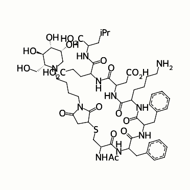 CC(=O)NC(CSC1CC(=O)N(CCCCN2C[C@@H](O)[C@@H](O)[C@H](O)[C@H]2CO)C1=O)C(=O)NC(Cc1ccccc1)C(=O)NC(Cc1ccccc1)C(=O)NC(CCCCN)C(=O)NC(CC(=O)O)C(=O)NC(CCC(=O)O)C(=O)NC(CC(C)C)C(=O)O